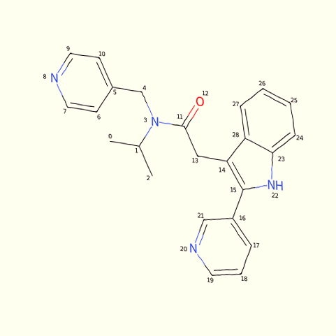 CC(C)N(Cc1ccncc1)C(=O)Cc1c(-c2cccnc2)[nH]c2ccccc12